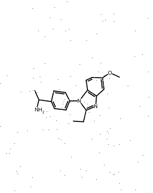 [CH2]C(N)c1ccc(-n2c(CC)nc3cc(OC)ccc32)cc1